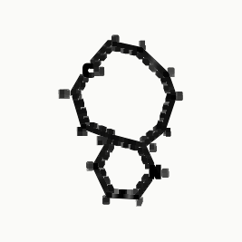 c1ccccc2ncccc2ccc1